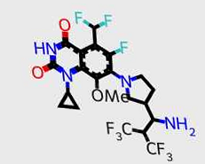 COc1c(N2CCC(C(N)C(C(F)(F)F)C(F)(F)F)C2)c(F)c(C(F)F)c2c(=O)[nH]c(=O)n(C3CC3)c12